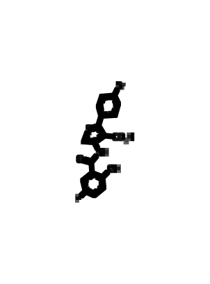 O=C(Nc1csc(-c2ccc(Br)cc2)c1C(=O)O)c1cc(F)ccc1O